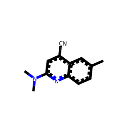 Cc1ccc2nc(N(C)C)cc(C#N)c2c1